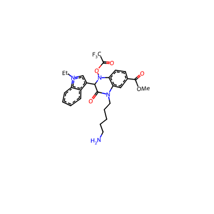 CCn1cc(C2C(=O)N(CCCCCN)c3cc(C(=O)OC)ccc3N2OC(=O)C(F)(F)F)c2ccccc21